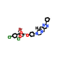 Cc1nc(-c2ccccc2)ncc1CN1CCN(c2ccc(OC[C@@H]3CO[C@@](CBr)(c4ccc(Cl)cc4Cl)O3)cc2)CC1